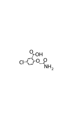 NC(=O)COc1ccc(Cl)cc1C(=O)O